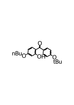 CCCCOc1ccc(C(=O)c2ccc(OC(C)(C)C)cc2)c(O)c1